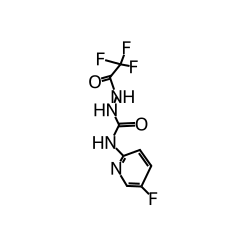 O=C(NNC(=O)C(F)(F)F)Nc1ccc(F)cn1